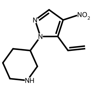 C=Cc1c([N+](=O)[O-])cnn1C1CCCNC1